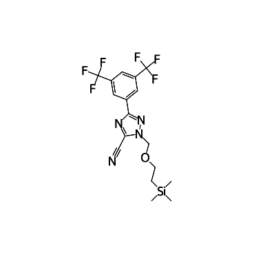 C[Si](C)(C)CCOCn1nc(-c2cc(C(F)(F)F)cc(C(F)(F)F)c2)nc1C#N